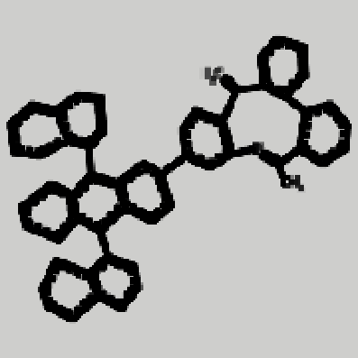 C=C1c2ccc(-c3ccc4c(-c5cccc6ccccc56)c5ccccc5c(-c5cccc6ccccc56)c4c3)cc2/N=C(\C)c2ccccc2-c2ccccc21